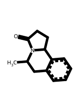 CC1Cc2ccccc2C2CCC(=O)N12